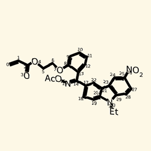 C=CC(=O)OCCOc1ccccc1/C(=N\OC(C)=O)c1ccc2c(c1)c1cc([N+](=O)[O-])ccc1n2CC